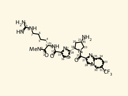 CNC(=O)[C@H](CCCCNC(=N)N)NC(=O)c1csc([C@@H]2C[C@@H](N)CN2C(=O)c2cn3cc(C(F)(F)F)ccc3n2)n1